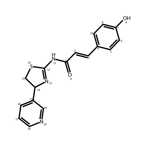 O=C(/C=C/c1ccc(O)cc1)NC1=NC(c2cccnc2)CS1